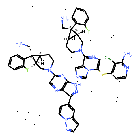 NC[C@]1(c2ccccc2F)[C@@H]2CCN(c3cnc4c(-c5ccn6nccc6c5)n[nH]c4n3)C[C@@H]21.NC[C@]1(c2ccccc2F)[C@@H]2CCN(c3ncc(Sc4ccnc(N)c4Cl)n4cncc34)C[C@@H]21